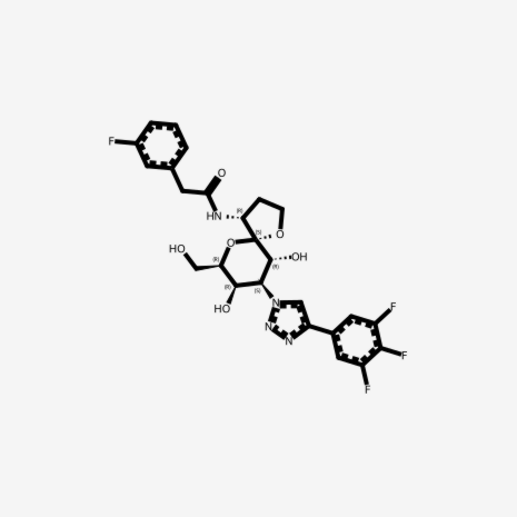 O=C(Cc1cccc(F)c1)N[C@@H]1CCO[C@]12O[C@H](CO)[C@H](O)[C@H](n1cc(-c3cc(F)c(F)c(F)c3)nn1)[C@H]2O